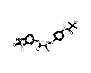 CC(=O)C(N=Nc1ccc(NC(=O)C(C)(C)Br)cc1)C(=O)Nc1ccc2[nH]c(=O)[nH]c2c1